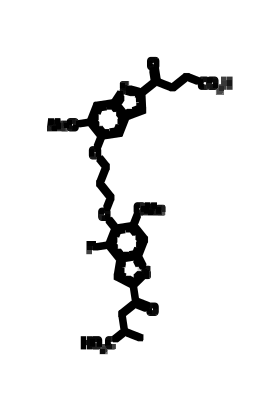 COc1cc2sc(C(=O)CCC(=O)O)cc2cc1OCCCOc1c(OC)cc2sc(C(=O)CC(C)C(=O)O)cc2c1F